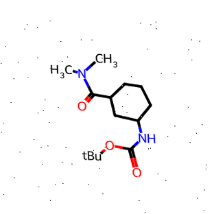 CN(C)C(=O)C1CCCC(NC(=O)OC(C)(C)C)C1